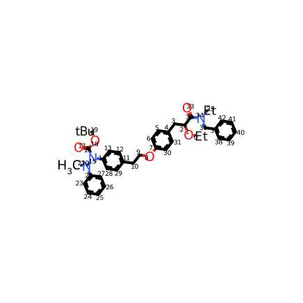 CCOC(Cc1ccc(OCCc2ccc(N(C(=O)OC(C)(C)C)N(C)c3ccccc3)cc2)cc1)C(=O)N(CC)Cc1ccccc1